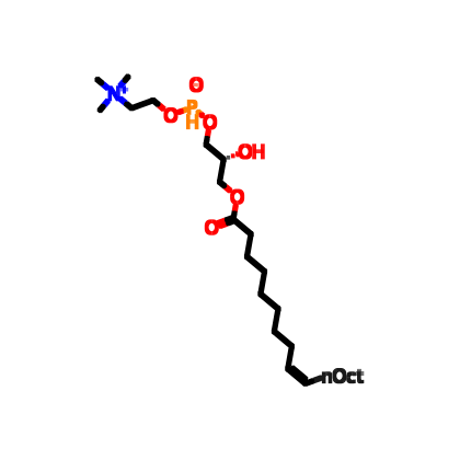 CCCCCCCC/C=C\CCCCCCCC(=O)OC[C@@H](O)CO[PH](=O)OCC[N+](C)(C)C